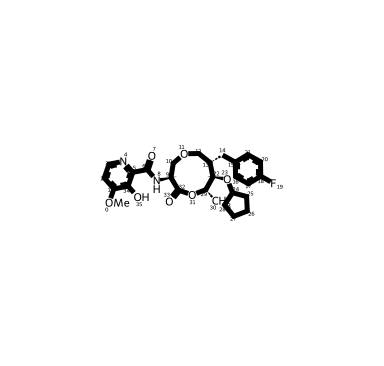 COc1ccnc(C(=O)N[C@H]2COC[C@H](Cc3ccc(F)cc3)[C@@H](OC3CCCC3)[C@H](C)OC2=O)c1O